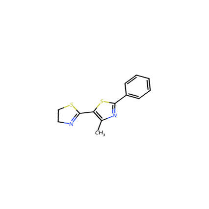 Cc1nc(-c2ccccc2)sc1C1=NCCS1